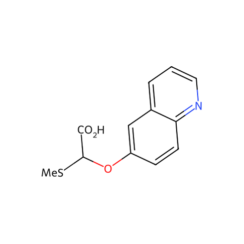 CSC(Oc1ccc2ncccc2c1)C(=O)O